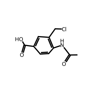 CC(=O)Nc1ccc(C(=O)O)cc1CCl